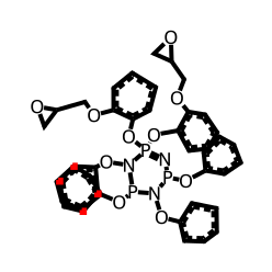 c1ccc(ON2P(Oc3ccccc3)N=P(Oc3ccccc3OCC3CO3)(Oc3ccccc3OCC3CO3)N(Oc3ccccc3)P2Oc2ccccc2)cc1